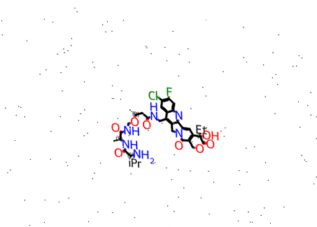 CC[C@@]1(O)C(=O)OCc2c1cc1n(c2=O)Cc2c-1nc1cc(F)c(Cl)cc1c2CNC(=O)C[C@@H](C)OCNC(=O)[C@H](C)NC(=O)[C@@H](N)C(C)C